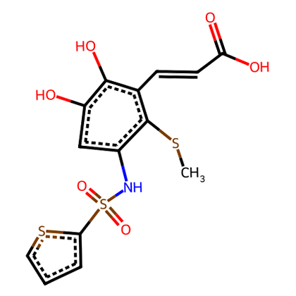 CSc1c(NS(=O)(=O)c2cccs2)cc(O)c(O)c1C=CC(=O)O